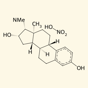 CN[C@H]1[C@@H](O)C[C@H]2[C@@H]3CCc4cc(O)ccc4[C@H]3CC[C@@]21C.O=[N+]([O-])O